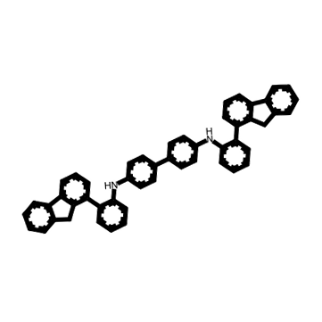 c1ccc2c(c1)Cc1c-2cccc1-c1ccccc1Nc1ccc(-c2ccc(Nc3ccccc3-c3cccc4c3Cc3ccccc3-4)cc2)cc1